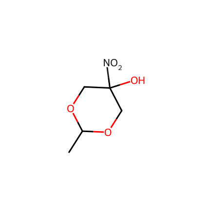 CC1OCC(O)([N+](=O)[O-])CO1